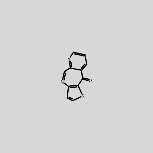 O=c1c2cccnc2cnc2ccsc12